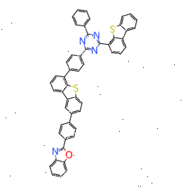 c1ccc(-c2nc(-c3ccc(-c4cccc5c4sc4ccc(-c6ccc(-c7nc8ccccc8o7)cc6)cc45)cc3)nc(-c3cccc4c3sc3ccccc34)n2)cc1